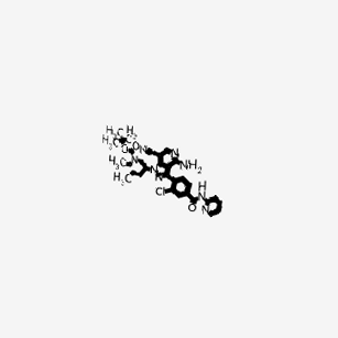 CCCC(CN(CC)C(=O)OC(C)(C)C)n1nc(-c2ccc(C(=O)Nc3ccccn3)cc2Cl)c2c(N)ncc(C#N)c21